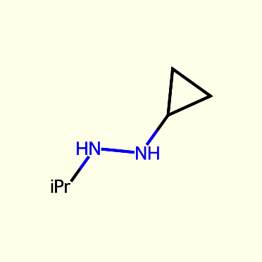 CC(C)NNC1CC1